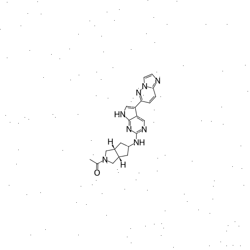 CC(=O)N1C[C@H]2CC(Nc3ncc4c(-c5ccc6nccn6n5)c[nH]c4n3)C[C@H]2C1